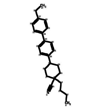 CCCCC1(C#N)CCC(c2ccc(-c3ccc(CC)cc3)cc2)CC1